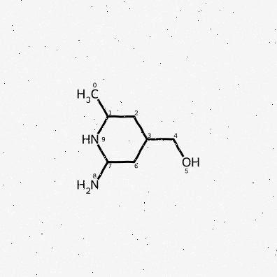 CC1CC(CO)CC(N)N1